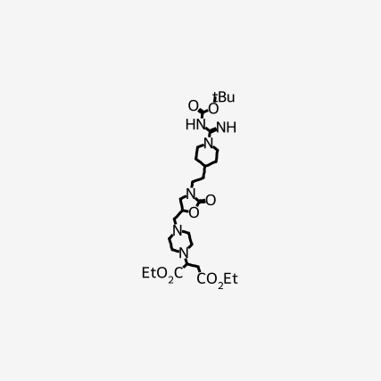 CCOC(=O)CC(C(=O)OCC)N1CCN(CC2CN(CCC3CCN(C(=N)NC(=O)OC(C)(C)C)CC3)C(=O)O2)CC1